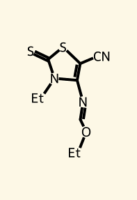 CCO/C=N/c1c(C#N)sc(=S)n1CC